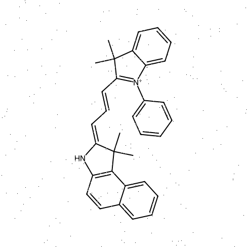 CC1(C)C(/C=C/C=C2/Nc3ccc4ccccc4c3C2(C)C)=[N+](c2ccccc2)c2ccccc21